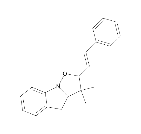 CC1(C)C(C=Cc2ccccc2)ON2c3ccccc3CC21